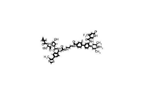 Cc1ncsc1-c1ccc([C@H](CC(=O)NCCCNC(=O)c2ccc(-c3ccc(N4C[C@@H](C)N(C)[C@@H](C)C4)c(NC(=O)c4c[nH]c(=O)cc4C(F)(F)F)c3)c(F)c2)NC(=O)[C@@H]2C[C@@H](O)CN2C(=O)[C@@H](NC(=O)C2(F)CC2)C(C)(C)C)cc1